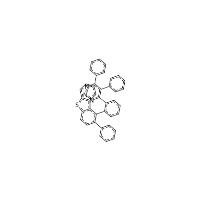 c1ccc(-c2ccc3sc4ccccc4c3c2-c2ccccc2-c2nnnc(-c3ccccc3)c2-c2ccccc2)cc1